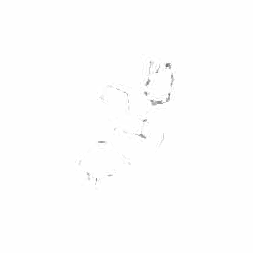 CC(C(=O)OC1CC[N+](C)(C)CC1)(c1cccnc1)C1CCCC1.[I-]